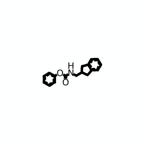 O=C(NCC1Cc2ccccc2C1)Oc1ccccc1